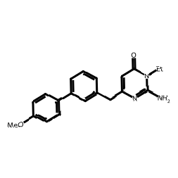 CCn1c(N)nc(Cc2cccc(-c3ccc(OC)cc3)c2)cc1=O